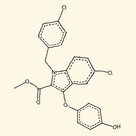 COC(=O)c1c(Oc2ccc(O)cc2)c2cc(Cl)ccc2n1Cc1ccc(Cl)cc1